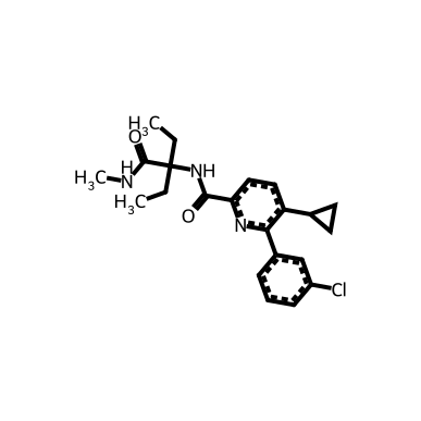 CCC(CC)(NC(=O)c1ccc(C2CC2)c(-c2cccc(Cl)c2)n1)C(=O)NC